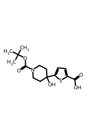 CC(C)(C)OC(=O)N1CCC(O)(c2ccc(C(=O)O)s2)CC1